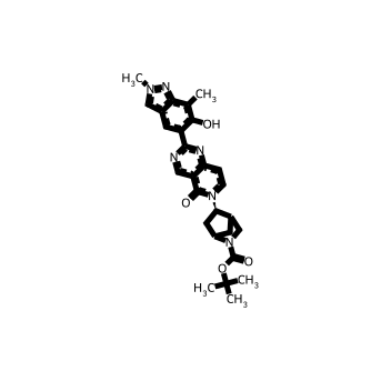 Cc1c(O)c(-c2ncc3c(=O)n([C@H]4CC5CC4CN5C(=O)OC(C)(C)C)ccc3n2)cc2cn(C)nc12